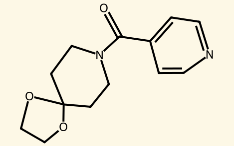 O=C(c1ccncc1)N1CCC2(CC1)OCCO2